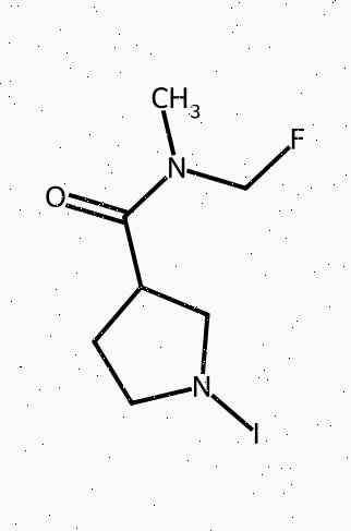 CN(CF)C(=O)C1CCN(I)C1